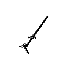 CCCCCCCCCCCCCCCCCCCCCCOC(=O)NCCCCCCCCCC(C(=O)O)C(C)C(F)CCCCC